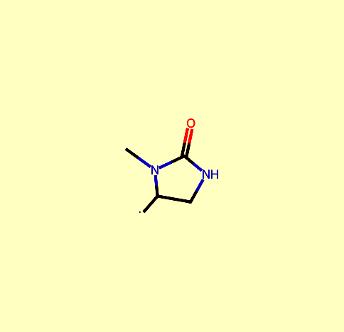 [CH2]C1CNC(=O)N1C